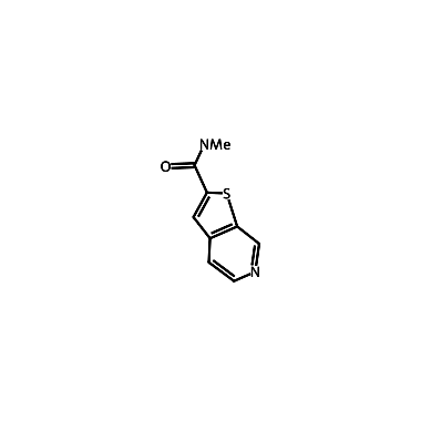 CNC(=O)c1cc2ccncc2s1